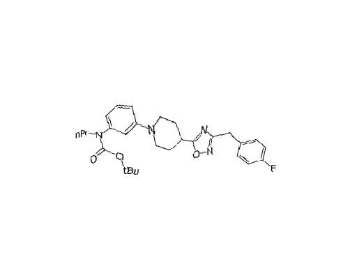 CCCN(C(=O)OC(C)(C)C)c1cccc(N2CCC(c3nc(Cc4ccc(F)cc4)no3)CC2)c1